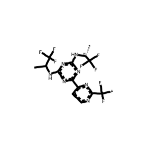 CC(Nc1nc(N[C@H](C)C(F)(F)F)nc(-c2ccnc(C(F)(F)F)n2)n1)C(F)(F)F